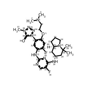 CN(C)CCOc1cc(F)c(Nc2ncc(F)c(N[C@@H]3C[C@H]4CCCN4C(C)(C)C3)n2)cc1-n1nnn(C)c1=O